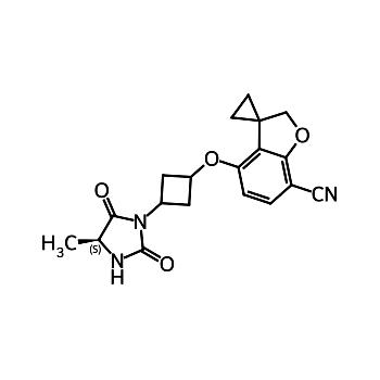 C[C@@H]1NC(=O)N(C2CC(Oc3ccc(C#N)c4c3C3(CC3)CO4)C2)C1=O